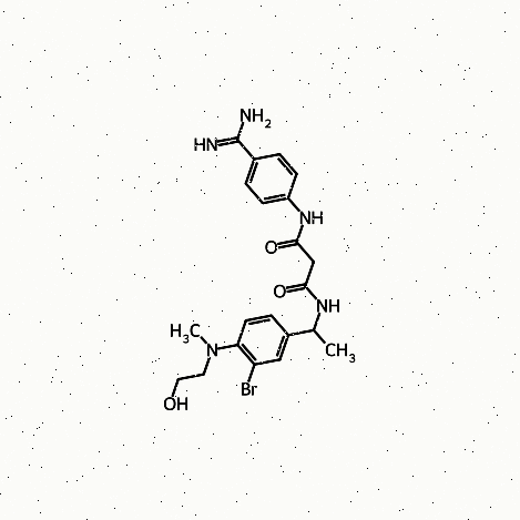 CC(NC(=O)CC(=O)Nc1ccc(C(=N)N)cc1)c1ccc(N(C)CCO)c(Br)c1